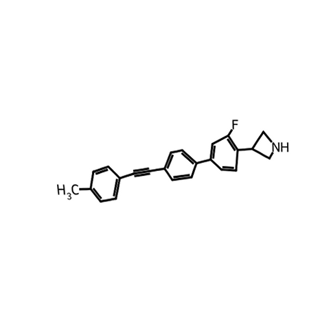 Cc1ccc(C#Cc2ccc(-c3ccc(C4CNC4)c(F)c3)cc2)cc1